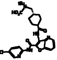 CC(C)(C)N(C[C@H]1CC[C@H](C(=O)Nc2c(C(=O)Nc3ccc(Cl)cn3)oc3cccnc23)CC1)C(=O)O